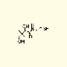 CC(C)(CO)[C@@H](O)C(=O)NCCS